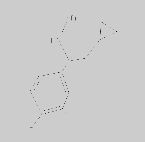 CCCNC(CC1CC1)c1ccc(F)cc1